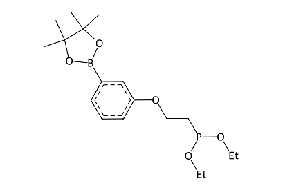 CCOP(CCOc1cccc(B2OC(C)(C)C(C)(C)O2)c1)OCC